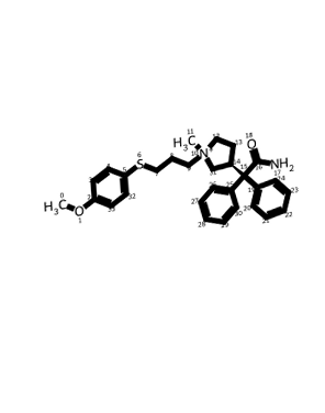 COc1ccc(SCCC[N+]2(C)CC[C@@H](C(C(N)=O)(c3ccccc3)c3ccccc3)C2)cc1